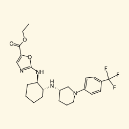 CCOC(=O)c1cnc(N[C@@H]2CCCC[C@H]2N[C@H]2CCCN(c3ccc(C(F)(F)F)cc3)C2)o1